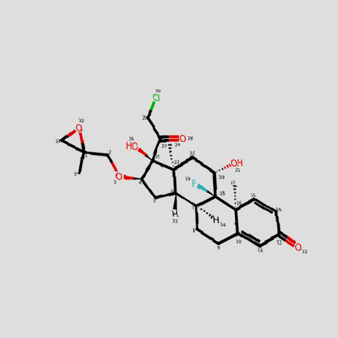 CC1(CO[C@@H]2C[C@H]3[C@@H]4CCC5=CC(=O)C=C[C@]5(C)[C@@]4(F)[C@@H](O)C[C@]3(C)[C@@]2(O)C(=O)CCl)CO1